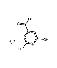 O.O=C(O)c1cc(O)nc(O)c1